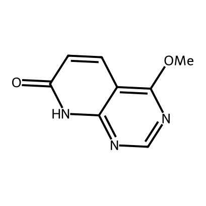 COc1ncnc2[nH]c(=O)ccc12